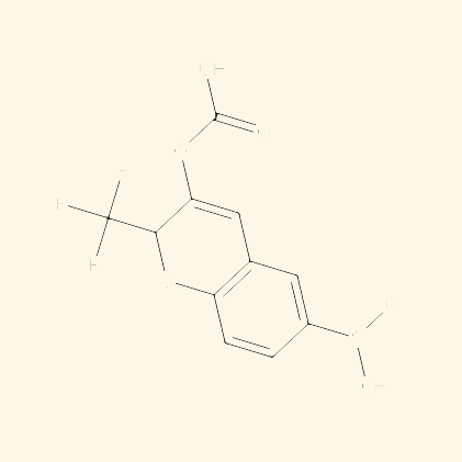 C[S+]([O-])c1ccc2c(c1)C=C(OC(=O)O)C(C(F)(F)F)O2